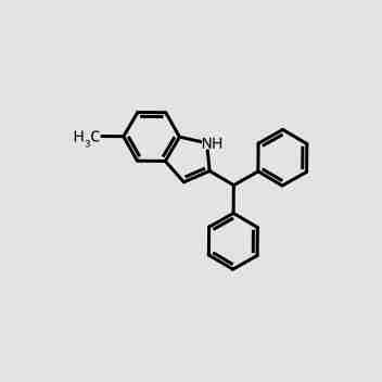 Cc1ccc2[nH]c(C(c3ccccc3)c3ccccc3)cc2c1